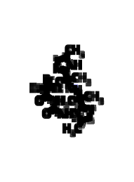 CC1CN=C(C(C)(C)/N=N/C(C)(C)C2=NCC(C)N2)N1.CCC(Br)(CC)C(=O)NC(N)=O